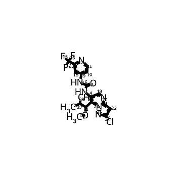 COC(c1c(NC(=O)Nc2ccnc(C(F)(F)F)c2)cnc2cc(Cl)nn12)C(C)C